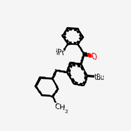 CC1CCCC(Cc2ccc(C(C)(C)C)c(C(=O)c3ccccc3C(C)C)c2)C1